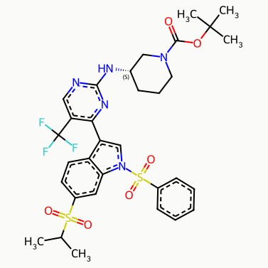 CC(C)S(=O)(=O)c1ccc2c(-c3nc(N[C@H]4CCCN(C(=O)OC(C)(C)C)C4)ncc3C(F)(F)F)cn(S(=O)(=O)c3ccccc3)c2c1